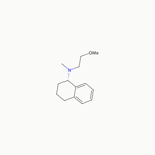 COCCN(C)[C@H]1CCCc2ccccc21